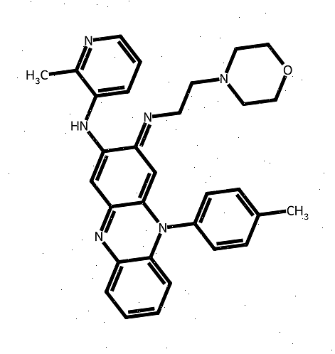 Cc1ccc(-n2c3cc(=NCCN4CCOCC4)c(Nc4cccnc4C)cc-3nc3ccccc32)cc1